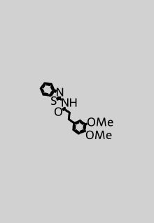 COc1ccc(CCC(=O)Nc2nc3ccccc3s2)cc1OC